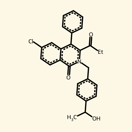 CCC(=O)c1c(-c2ccccc2)c2cc(Cl)ccc2c(=O)n1Cc1ccc(C(C)O)cc1